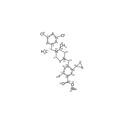 C[C@H](c1cc(Cl)cc(Cl)c1)N1CCN(Cc2cc(F)c(C(=O)OC(C)(C)C)cc2C2CC2)C[C@@H]1C